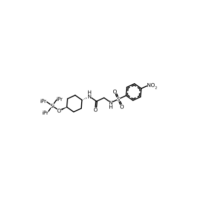 CC(C)[Si](O[C@H]1CC[C@H](NC(=O)CNS(=O)(=O)c2ccc([N+](=O)[O-])cc2)CC1)(C(C)C)C(C)C